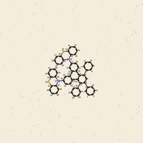 c1ccc(-c2cc(-c3ccccc3)c3c4ccc(N5c6ccccc6Sc6ccccc65)cc4c4cc(N5c6ccccc6Sc6ccccc65)ccc4c3c2-c2ccccc2)cc1